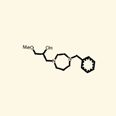 COCC(O)CN1CCCN(Cc2ccccc2)CC1